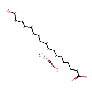 O=C([O-])CCCCCCCCCCCCCCCCCO.[Li+].[Li+].[O]=[Al][O-]